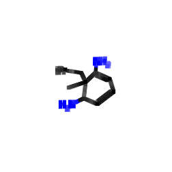 CC(C)CC1(C)C(N)=CC=CC1N